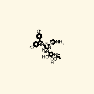 CCC(=O)N[C@H]1C[C@@H](n2cnc3c(NCC(c4ccc(OC)cc4)c4ccc(OC)cc4)nc(N4CCC(N)C4)nc32)[C@H](O)[C@@H]1O